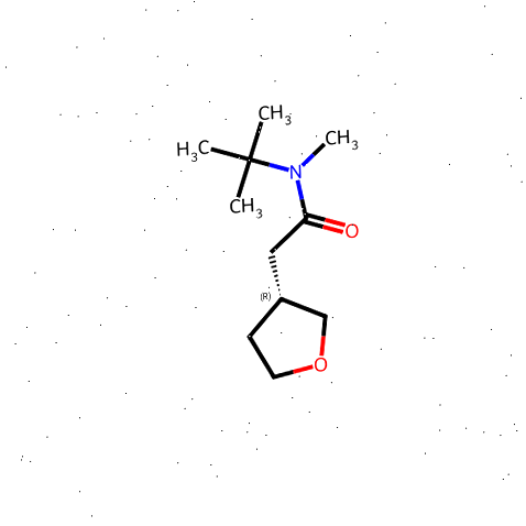 CN(C(=O)C[C@H]1CCOC1)C(C)(C)C